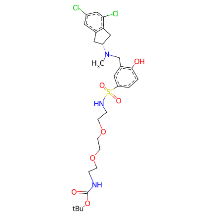 CN(Cc1cc(S(=O)(=O)NCCOCCOCCNC(=O)OC(C)(C)C)ccc1O)[C@@H]1Cc2cc(Cl)cc(Cl)c2C1